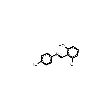 Oc1ccc(/N=C/c2c(O)cccc2O)cc1